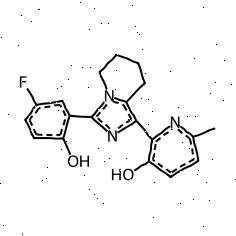 Cc1ccc(O)c(-c2nc(-c3cc(F)ccc3O)n3c2CCCC3)n1